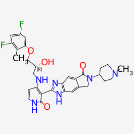 Cc1c(F)cc(F)cc1OC[C@H](O)CNc1cc[nH]c(=O)c1-c1nc2cc3c(cc2[nH]1)CN(C1CCN(C)CC1)C3=O